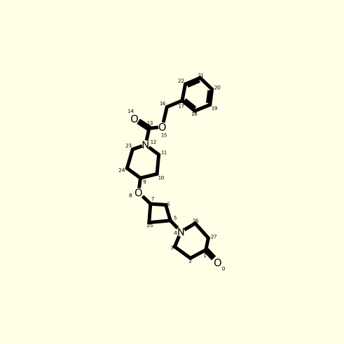 O=C1CCN(C2CC(OC3CCN(C(=O)OCc4ccccc4)CC3)C2)CC1